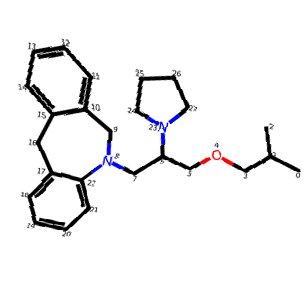 CC(C)COCC(CN1Cc2ccccc2Cc2ccccc21)N1CCCC1